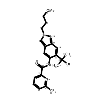 COCCCn1cc2cc(NC(=O)c3cccc(C(F)(F)F)n3)c(C(C)(C)O)cc2n1